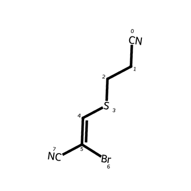 N#CCCSC=C(Br)C#N